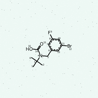 CC(C)(C)N(Cc1cc(F)cc(Br)c1)C(=O)O